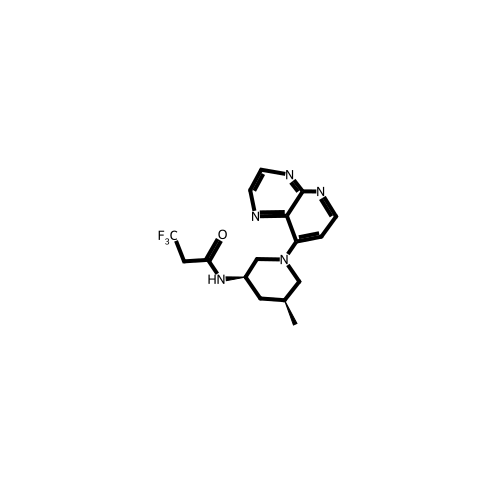 C[C@H]1C[C@@H](NC(=O)CC(F)(F)F)CN(c2ccnc3nccnc23)C1